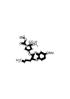 C=CCCc1nc2ccc(OC)cc2nc1O[C@H]1CN(C(=O)OC(C)(C)C)[C@](C)(C(=O)O)C1